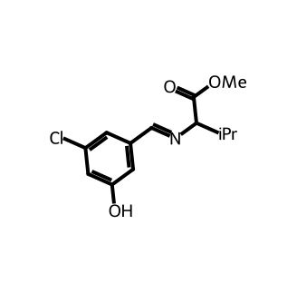 COC(=O)C(N=Cc1cc(O)cc(Cl)c1)C(C)C